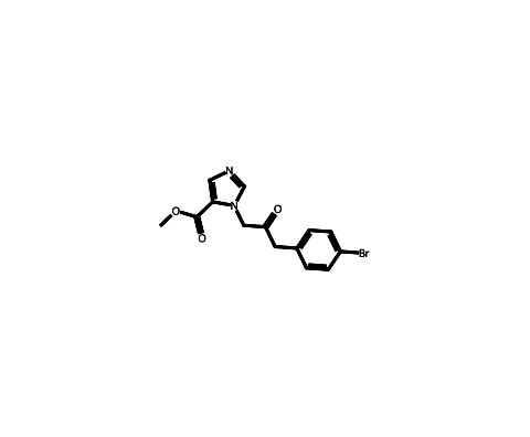 COC(=O)c1cncn1CC(=O)Cc1ccc(Br)cc1